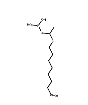 CCCCCCCCCCCCCCCCSC(C)OP(O)O